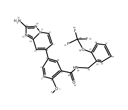 COc1ncc(-c2ccn3nc(N)nc3c2)cc1C(=O)NCc1ccccc1OC(F)(F)F